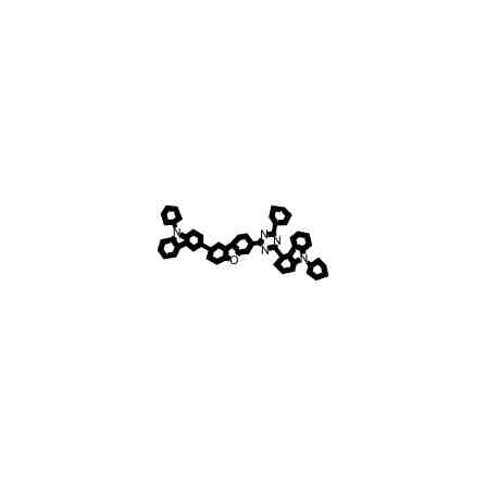 c1ccc(-c2nc(-c3ccc4c(c3)oc3ccc(-c5ccc6c(c5)c5ccccc5n6-c5ccccc5)cc34)nc(-c3cccc4c3c3ccccc3n4-c3ccccc3)n2)cc1